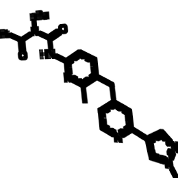 CCCCN(C(=O)CC)C(=O)Nc1ccc(Cc2ccnc(-c3cnn(C)c3)c2)c(C)n1